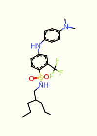 CCCC(CCC)CNS(=O)(=O)c1ccc(Nc2ccc(N(C)C)cc2)cc1C(F)(F)F